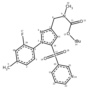 Cc1ccc(-n2nc(CN(C)C(=O)OC(C)(C)C)cc2S(=O)(=O)c2cccnc2)c(F)c1